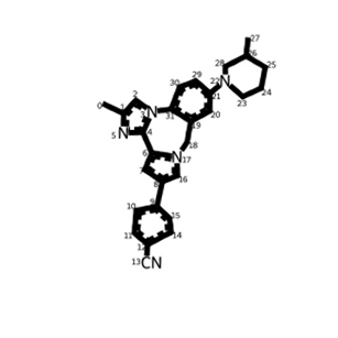 Cc1cn2c(n1)-c1cc(-c3ccc(C#N)cc3)cn1Cc1cc(N3CCCC(C)C3)ccc1-2